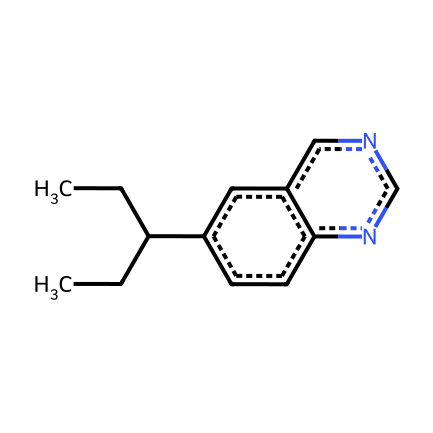 CCC(CC)c1ccc2ncncc2c1